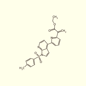 C=C(C(=O)OCC)c1cccc(-c2ccnc3c2ccn3S(=O)(=O)c2ccc(C)cc2)n1